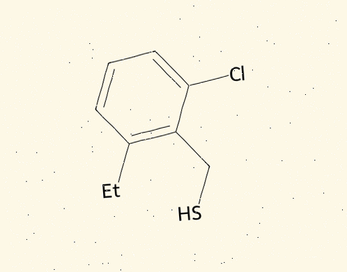 CCc1cccc(Cl)c1CS